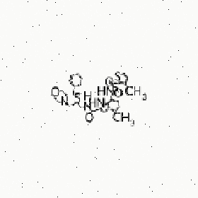 Cc1ccsc1S(=O)(=O)Nc1ccc(C)c2cc(C(=O)NCC(CN3CCOCC3)SCc3ccccc3)[nH]c12